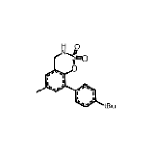 Cc1cc2c(c(-c3ccc(C(C)(C)C)cc3)c1)OS(=O)(=O)NC2